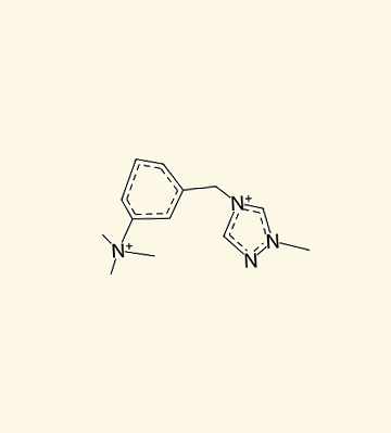 Cn1c[n+](Cc2cccc([N+](C)(C)C)c2)cn1